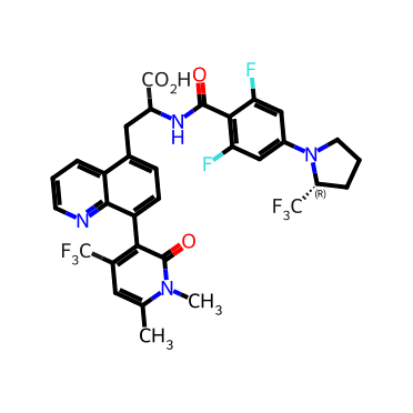 Cc1cc(C(F)(F)F)c(-c2ccc(CC(NC(=O)c3c(F)cc(N4CCC[C@@H]4C(F)(F)F)cc3F)C(=O)O)c3cccnc23)c(=O)n1C